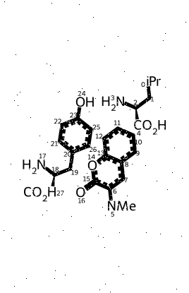 CC(C)C[C@H](N)C(=O)O.CNc1cc2ccccc2oc1=O.N[C@@H](Cc1ccc(O)cc1)C(=O)O